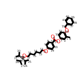 Cc1cc(OC(=O)c2ccc(OCCCCCCO[Si](C(C)C)(C(C)C)C(C)C)cc2)ccc1OCc1ccccc1